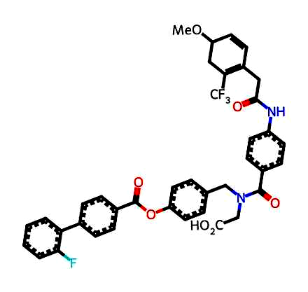 COC1C=CC(CC(=O)Nc2ccc(C(=O)N(CC(=O)O)Cc3ccc(OC(=O)c4ccc(-c5ccccc5F)cc4)cc3)cc2)=C(C(F)(F)F)C1